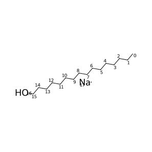 CCCCCCCCCCCCCCCCO.[Na]